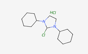 Cl.ClC1N(C2CCCCC2)CCN1C1CCCCC1